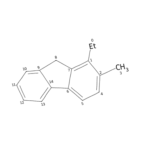 CCc1c(C)ccc2c1Cc1ccccc1-2